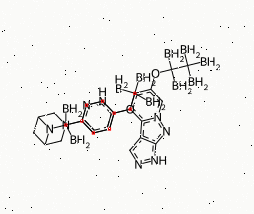 BC(B)(B)OC1=CC=C(C(B)(B)N2C3CC2CN(c2ccc(-c4cc(OC(B)(B)C(B)(B)B)cn5nc6[nH]ncc6c45)cn2)C3)CN1